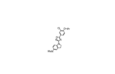 CNc1ccc2c(c1)CCN2c1noc(-c2ccc(OC(C)C)c(Cl)c2)n1